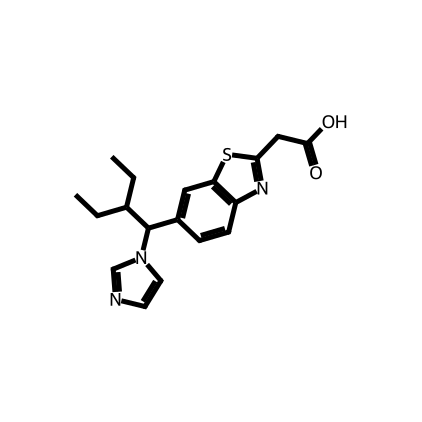 CCC(CC)C(c1ccc2nc(CC(=O)O)sc2c1)n1ccnc1